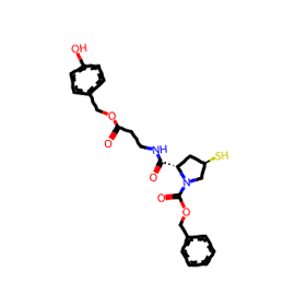 O=C(CCNC(=O)[C@@H]1C[C@@H](S)CN1C(=O)OCc1ccccc1)OCc1ccc(O)cc1